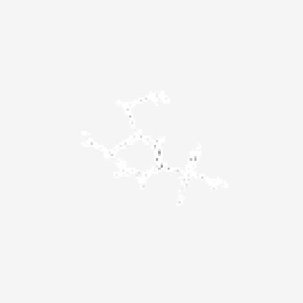 COc1cc(S(C)(=O)=O)nnc1Cl